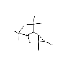 CC1C2C(C(C)(C)C)N(C(C)(C)C)CC12C